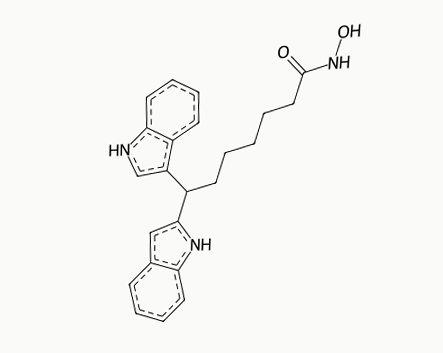 O=C(CCCCCC(c1cc2ccccc2[nH]1)c1c[nH]c2ccccc12)NO